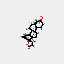 C[C@]12CCC3C4CCC(=O)C=C4CCC3C1C1C=C1[C@@]21C=CCO1